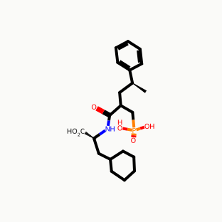 C[C@@H](CC(CP(=O)(O)O)C(=O)N[C@@H](CC1CCCCC1)C(=O)O)c1ccccc1